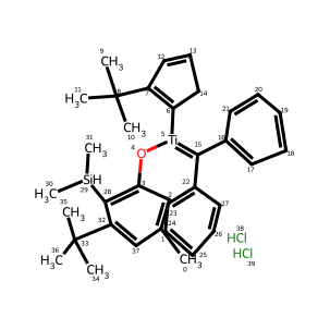 Cc1cc([O][Ti]([C]2=C(C(C)(C)C)C=CC2)=[C](c2ccccc2)c2ccccc2)c([SiH](C)C)c(C(C)(C)C)c1.Cl.Cl